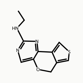 CCNc1ncc2c(n1)-c1cscc1CO2